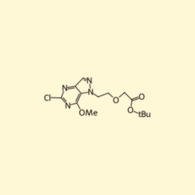 COc1nc(Cl)nc2cnn(CCOCC(=O)OC(C)(C)C)c12